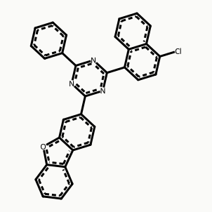 Clc1ccc(-c2nc(-c3ccccc3)nc(-c3ccc4c(c3)oc3ccccc34)n2)c2ccccc12